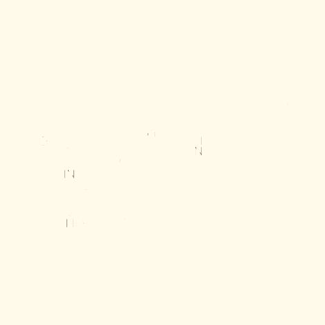 O=C1CCc2c(C(=O)CNCc3ccccc3)ccc(O)c2N1